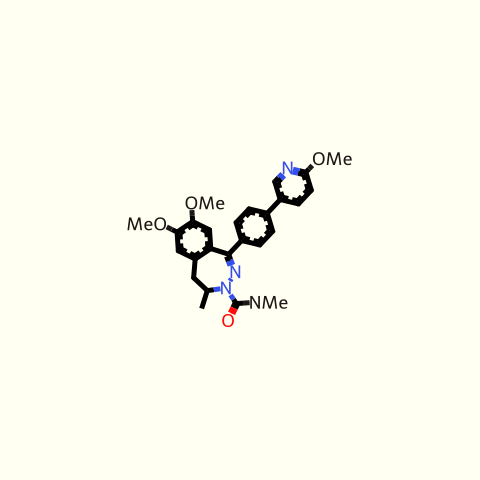 CNC(=O)N1N=C(c2ccc(-c3ccc(OC)nc3)cc2)c2cc(OC)c(OC)cc2CC1C